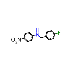 O=[N+]([O-])c1ccc(NCc2ccc(F)cc2)cc1